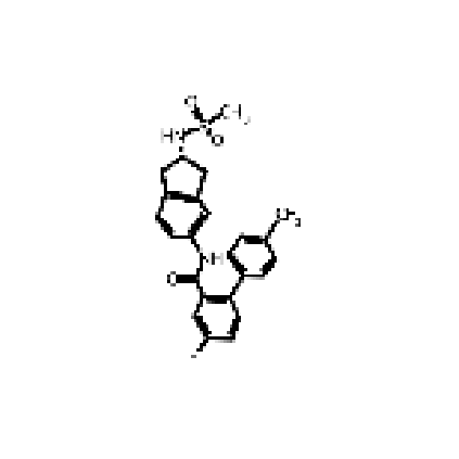 CS(=O)(=O)N[C@H]1Cc2ccc(NC(=O)c3cc(F)ccc3-c3ccc(C(F)(F)F)cc3)cc2C1